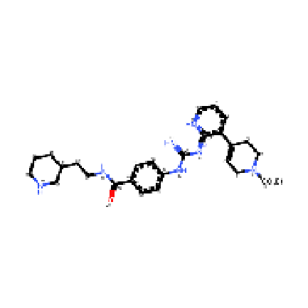 CCOC(=O)N1CC=C(c2ccc[nH]/c2=N\C(=N)Nc2ccc(C(=O)NCCC3CCCNC3)cc2)CC1